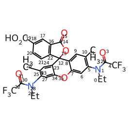 CCN(C(=O)C(F)(F)F)c1cc2c(cc1C)C1(OC(=O)c3cc(C(=O)O)ccc31)c1cc(C)c(N(CC)C(=O)C(F)(F)F)cc1O2